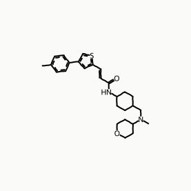 Cc1ccc(-c2csc(C=CC(=O)NC3CCC(CN(C)C4CCOCC4)CC3)c2)cc1